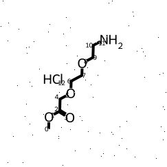 COC(=O)COCCOCCN.Cl